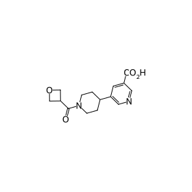 O=C(O)c1cncc(C2CCN(C(=O)C3COC3)CC2)c1